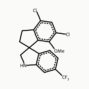 COc1c(Cl)cc(Cl)c2c1C1(CC2)CNc2cc(C(F)(F)F)ccc21